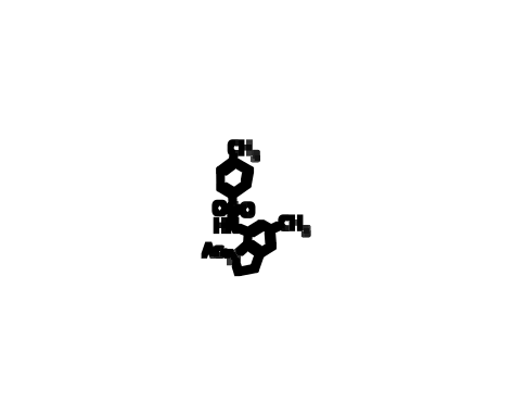 CC(=O)N1CCc2cc(C)cc(NS(=O)(=O)c3ccc(C)cc3)c21